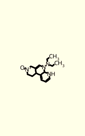 CCN(CC)N1C=C2C[N+](=O)CCC2C2=CC=CNC21